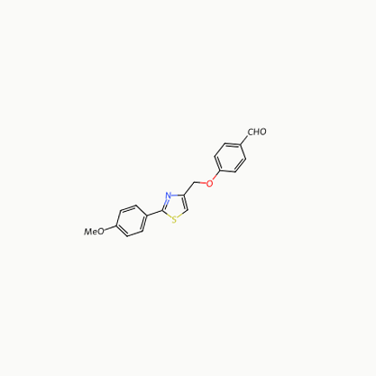 COc1ccc(-c2nc(COc3ccc(C=O)cc3)cs2)cc1